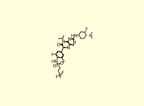 CC(C)n1c(=O)c(-c2cc(F)c(NS(=O)(=O)CCC(F)(F)F)c(F)c2)nc2cnc(N[C@@H]3CC[C@@H](N(C)C)[C@H](F)C3)nc21